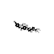 COc1cc(Nc2ncc(Cl)c(-c3ccn(C(C)C)n3)n2)ccc1C(=O)NCc1ccc(C#N)cc1